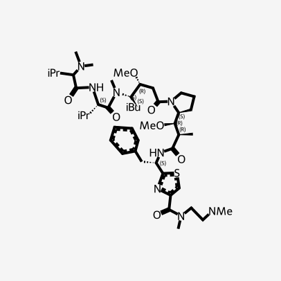 CC[C@H](C)[C@@H]([C@@H](CC(=O)N1CCC[C@H]1[C@H](OC)[C@@H](C)C(=O)N[C@@H](Cc1ccccc1)c1nc(C(=O)N(C)CCNC)cs1)OC)N(C)C(=O)[C@@H](NC(=O)C(C(C)C)N(C)C)C(C)C